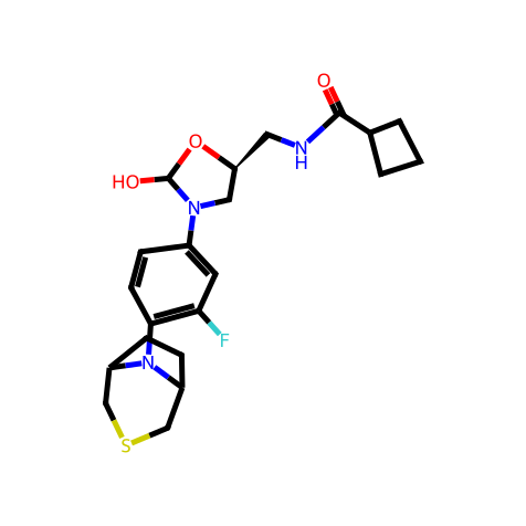 O=C(NC[C@H]1CN(c2ccc(N3C4CCC3CSC4)c(F)c2)C(O)O1)C1CCC1